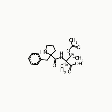 CC(=O)O[C@H](C)[C@](C)(NC(=O)C1(Cc2ccccc2)CCCN1)C(=O)O